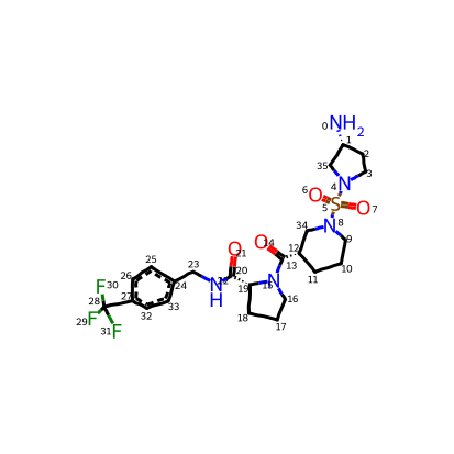 N[C@@H]1CCN(S(=O)(=O)N2CCC[C@H](C(=O)N3CCC[C@@H]3C(=O)NCc3ccc(C(F)(F)F)cc3)C2)C1